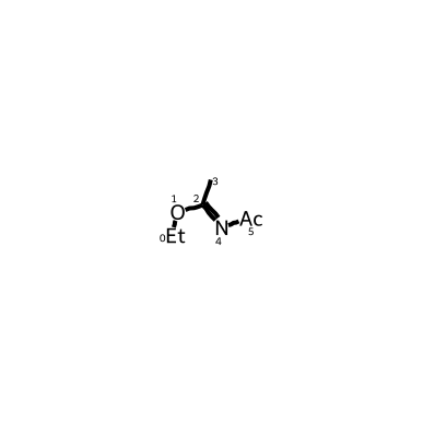 CCOC(C)=NC(C)=O